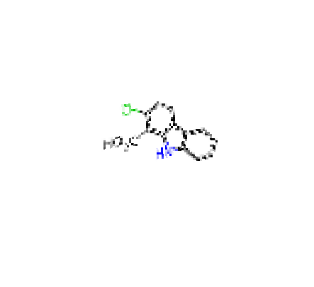 O=C(O)c1c(Cl)ccc2c1[nH]c1ccccc12